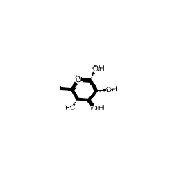 CC1O[C@H](O)[C@@H](O)C(O)[C@@H]1O